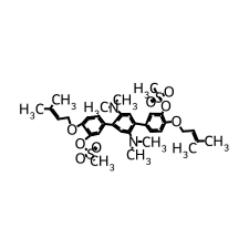 CC(C)=CCOc1ccc(-c2cc(N(C)C)c(-c3ccc(OCC=C(C)C)c(OS(C)(=O)=O)c3)cc2N(C)C)cc1OS(C)(=O)=O